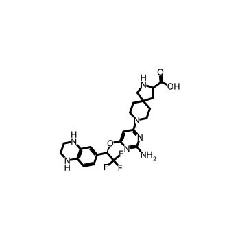 Nc1nc(O[C@H](c2ccc3c(c2)NCCN3)C(F)(F)F)cc(N2CCC3(CC2)CNC(C(=O)O)C3)n1